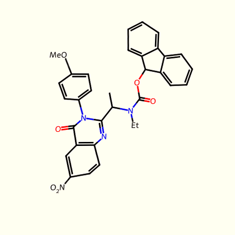 CCN(C(=O)OC1c2ccccc2-c2ccccc21)C(C)c1nc2ccc([N+](=O)[O-])cc2c(=O)n1-c1ccc(OC)cc1